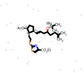 C=C(C)CCC(C/C=C/[C@@H]1CC[C@H](OC(C)=O)[C@@H]1CCSc1nc(C(=O)OCC)cs1)O[Si](C)(C)C(C)(C)C